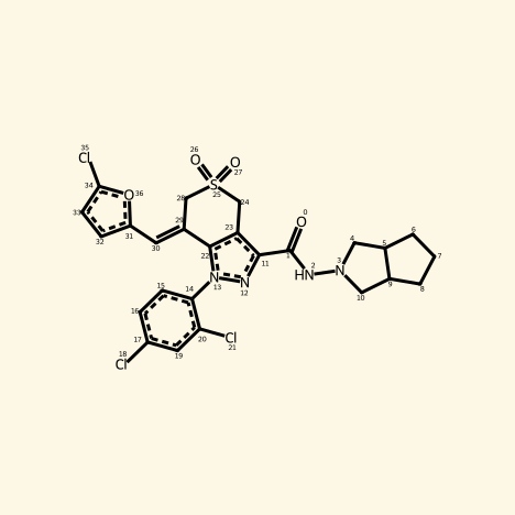 O=C(NN1CC2CCCC2C1)c1nn(-c2ccc(Cl)cc2Cl)c2c1CS(=O)(=O)C/C2=C\c1ccc(Cl)o1